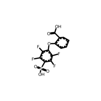 O=C(O)c1ccccc1Oc1c(F)c(F)c(S(=O)(=O)O)c(F)c1F